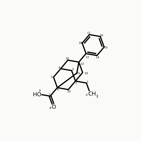 CCC12CC3CC(C(=O)O)(C1)CC(c1ccccc1)(C3)C2